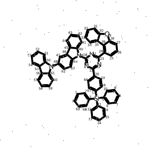 c1ccc([Si](c2ccccc2)(c2ccccc2)c2ccc(-c3nc(-c4cccc5oc6ccccc6c45)nc(-n4c5ccccc5c5cc(-n6c7ccccc7c7ccccc76)ccc54)n3)cc2)cc1